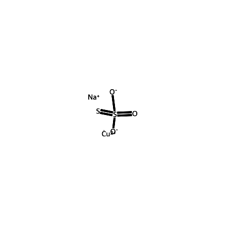 O=S([O-])([O-])=S.[Cu+2].[Na+]